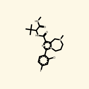 CNC(=O)C(NC(=O)c1nc(-c2ccc(F)cc2Cl)n2c1CN(C)CCC2)C(C)(C)C